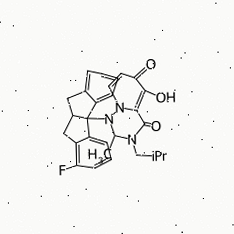 CC(C)CN1C(=O)c2c(O)c(=O)ccn2N(C23c4ccccc4CC2Cc2c(F)cccc23)C1C